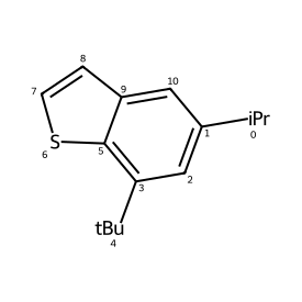 CC(C)c1cc(C(C)(C)C)c2sccc2c1